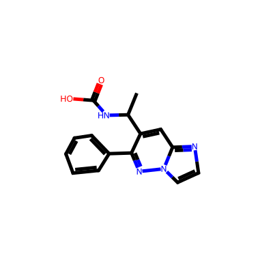 CC(NC(=O)O)c1cc2nccn2nc1-c1ccccc1